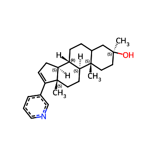 C[C@]1(O)CC[C@@]2(C)C(CC[C@@H]3[C@@H]2CC[C@]2(C)C(c4cccnc4)=CC[C@@H]32)C1